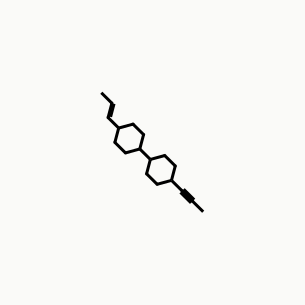 CC#CC1CCC(C2CCC(C=CC)CC2)CC1